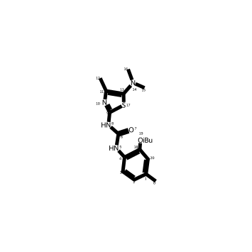 Cc1ccc(NC(=O)Nc2nc(C)c(N(C)C)s2)c(OCC(C)C)c1